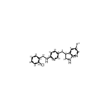 Fc1cnc2c(c1)C(Cc1ccc(NCc3ccccc3Cl)nc1)CN2